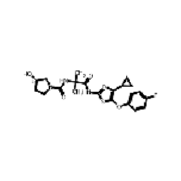 CC(C)(NC(=O)N1CC[C@@H](O)C1)C(=O)Nc1nc(C2CC2)c(Oc2ccc(F)cc2)s1